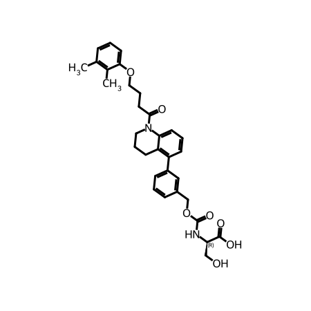 Cc1cccc(OCCCC(=O)N2CCCc3c(-c4cccc(COC(=O)N[C@H](CO)C(=O)O)c4)cccc32)c1C